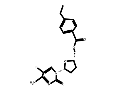 CCc1ccc(C(=O)OC[C@@H]2CC[C@H](n3cc(F)c(N)nc3=O)O2)cc1